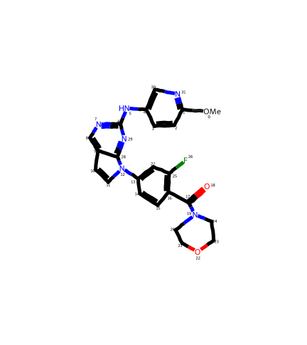 COc1ccc(Nc2ncc3ccn(-c4ccc(C(=O)N5CCOCC5)c(F)c4)c3n2)cn1